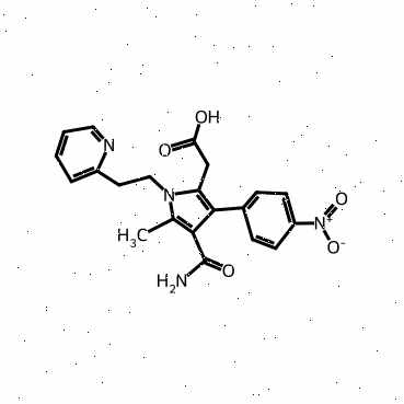 Cc1c(C(N)=O)c(-c2ccc([N+](=O)[O-])cc2)c(CC(=O)O)n1CCc1ccccn1